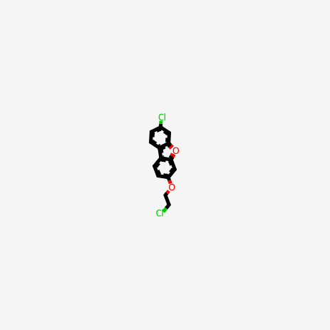 ClCCOc1ccc2c(c1)oc1cc(Cl)ccc12